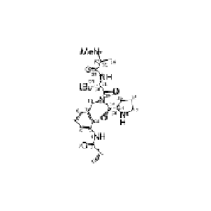 C=CC(=O)Nc1cccc(CN(C(=O)[C@@H]2CCCN2)C(=O)[C@@H](NC(=O)[C@H](C)NC)C(C)(C)C)c1